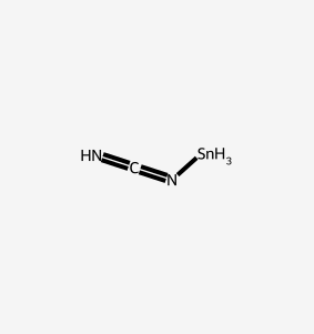 N=C=[N][SnH3]